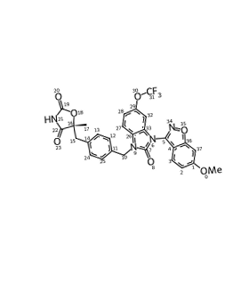 COc1ccc2c(-n3c(=O)n(Cc4ccc(C[C@@]5(C)OC(=O)NC5=O)cc4)c4ccc(OC(F)(F)F)cc43)noc2c1